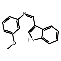 COc1cccc(/N=C\c2c[nH]c3ccccc23)c1